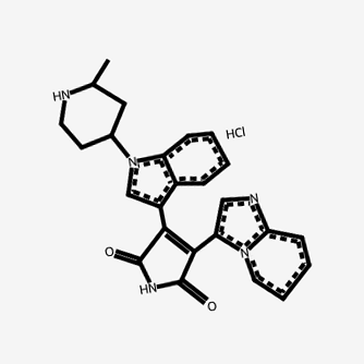 CC1CC(n2cc(C3=C(c4cnc5ccccn45)C(=O)NC3=O)c3ccccc32)CCN1.Cl